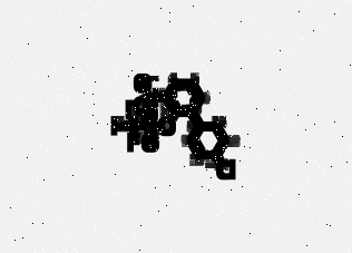 O=[N+]([O-])c1cccc(C2C=CC(Cl)CC2)c1OS(=O)(=O)C(F)(F)F